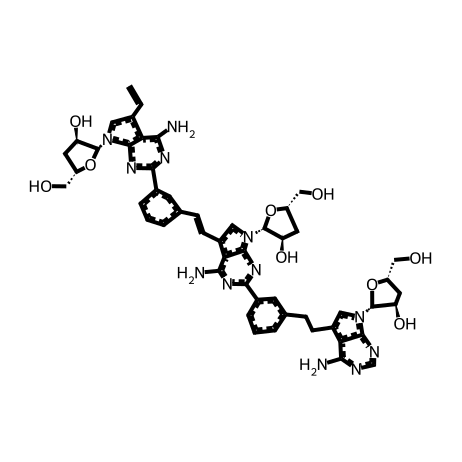 C=Cc1cn([C@@H]2O[C@H](CO)C[C@H]2O)c2nc(-c3cccc(/C=C/c4cn([C@@H]5O[C@H](CO)C[C@H]5O)c5nc(-c6cccc(CCc7cn([C@@H]8O[C@H](CO)C[C@H]8O)c8ncnc(N)c78)c6)nc(N)c45)c3)nc(N)c12